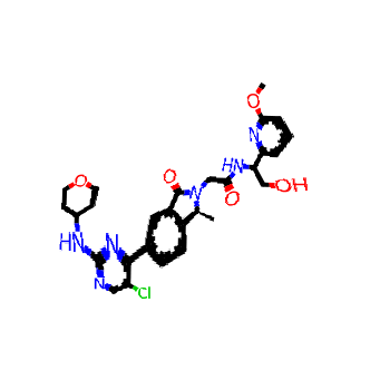 COc1cccc(C(CO)NC(=O)CN2C(=O)c3cc(-c4nc(NC5CCOCC5)ncc4Cl)ccc3[C@@H]2C)n1